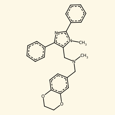 CN(Cc1ccc2c(c1)OCCO2)Cc1c(-c2ccccc2)nc(-c2ccccc2)n1C